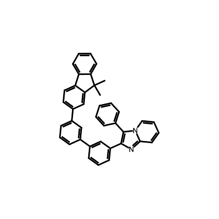 CC1(C)c2ccccc2-c2ccc(-c3cccc(-c4cccc(-c5nc6ccccn6c5-c5ccccc5)c4)c3)cc21